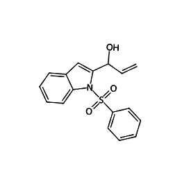 C=CC(O)c1cc2ccccc2n1S(=O)(=O)c1ccccc1